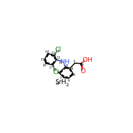 O=C(O)Cc1ccccc1Nc1c(Cl)cccc1Cl.[SrH2]